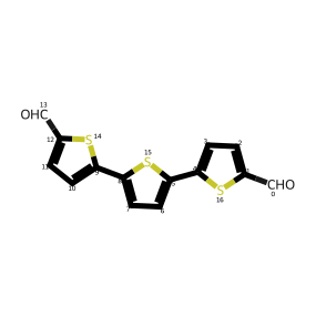 O=Cc1ccc(-c2ccc(-c3ccc(C=O)s3)s2)s1